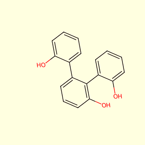 Oc1ccccc1-c1cccc(O)c1-c1ccccc1O